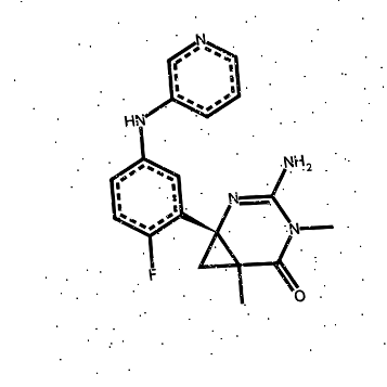 CN1C(=O)C2(C)C[C@]2(c2cc(Nc3cccnc3)ccc2F)N=C1N